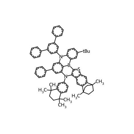 CC(C)(C)c1ccc2c(c1)B1c3sc4cc5c(cc4c3N(c3ccc4c(c3)C(C)(C)CCC4(C)C)c3cc(-c4ccccc4)cc(c31)N2c1cc(-c2ccccc2)cc(-c2ccccc2)c1)C1(C)CCC5(C)CC1